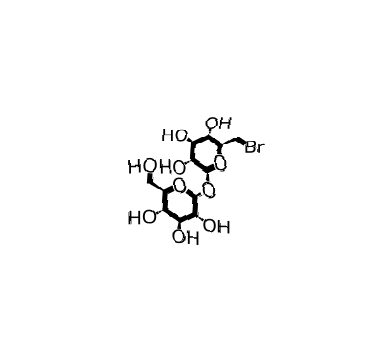 OC[C@H]1O[C@H](O[C@@H]2O[C@H](CBr)[C@@H](O)[C@H](O)[C@H]2O)[C@H](O)[C@@H](O)[C@@H]1O